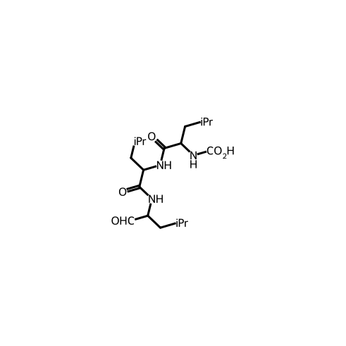 CC(C)CC(C=O)NC(=O)C(CC(C)C)NC(=O)C(CC(C)C)NC(=O)O